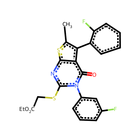 CCOC(=O)CSc1nc2sc(C)c(-c3ccccc3F)c2c(=O)n1-c1cccc(F)c1